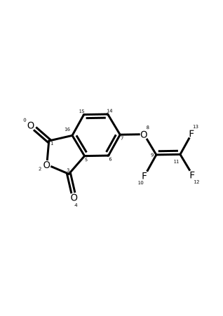 O=C1OC(=O)c2cc(OC(F)=C(F)F)ccc21